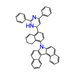 C1=Cc2c(C3C=C(c4ccccc4)N=C(c4ccccc4)N3)ccc(-n3c4ccc5ccccc5c4c4c5ccccc5ccc43)c2CC1